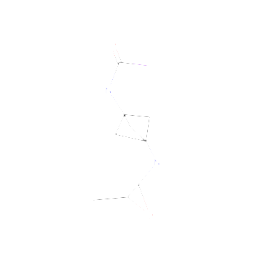 CC1OC1NC12CC(NC(=O)I)(C1)C2